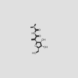 C=C(C(=O)NC(=O)N(C)C)[C@@H]1O[C@H](CO)[C@@H](O)[C@H]1O